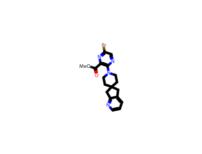 COC(=O)c1nc(Br)cnc1N1CCC2(CC1)Cc1cccnc1C2